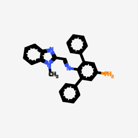 Cn1c(/C=N/c2c(-c3ccccc3)cc(P)cc2-c2ccccc2)nc2ccccc21